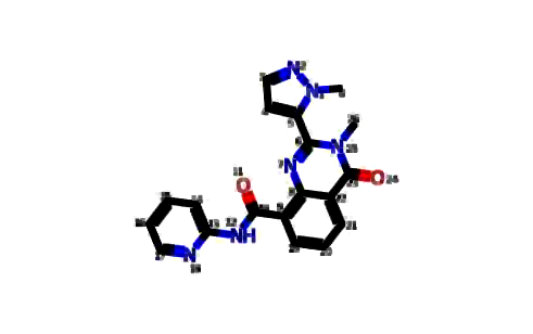 Cn1nccc1-c1nc2c(C(=O)Nc3ccccn3)cccc2c(=O)n1C